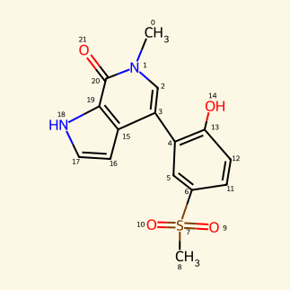 Cn1cc(-c2cc(S(C)(=O)=O)ccc2O)c2cc[nH]c2c1=O